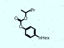 CCCCCCc1ccc(OC(=O)OC(C)C(C)C)cc1